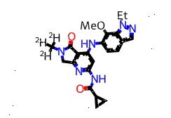 [2H]C([2H])([2H])N1Cc2nc(NC(=O)C3CC3)cc(Nc3ccc4cnn(CC)c4c3OC)c2C1=O